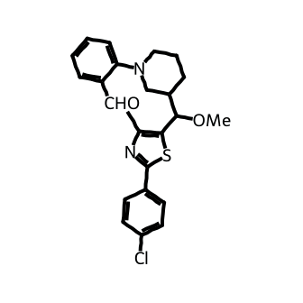 COC(c1sc(-c2ccc(Cl)cc2)nc1C)C1CCCN(c2ccccc2C=O)C1